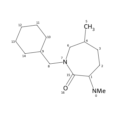 CNC1CCC(C)CN(CC2CCCCC2)C1=O